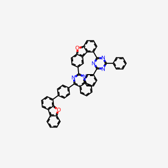 c1ccc(-c2nc(-c3ccccc3)nc(-c3cccc4oc5ccc(-c6nc(-c7ccc(-c8cccc9c8oc8ccccc89)cc7)c7ccccc7n6)cc5c34)n2)cc1